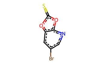 S=c1oc2cc(Br)cnc2o1